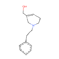 OCC1=CCCN(CCc2ccccc2)C1